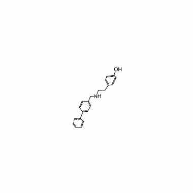 Oc1ccc(CCNCc2ccc(-c3ccccc3)cc2)cc1